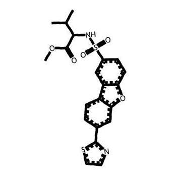 COC(=O)C(NS(=O)(=O)c1ccc2oc3cc(-c4nccs4)ccc3c2c1)C(C)C